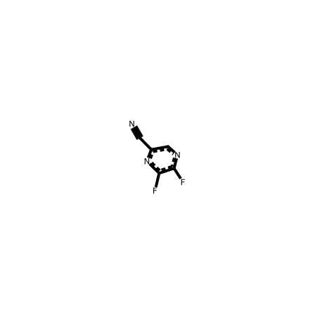 N#Cc1cnc(F)c(F)n1